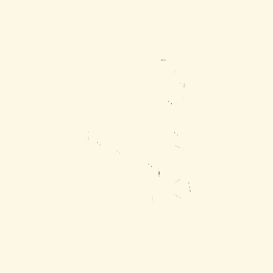 Cc1cc(CC(OC(=O)N2CCC(N3CCc4ccccc4NC3=O)CC2)C(=O)N2CCC(N3CCN(C(=O)OC(C)(C)C)CC3)CC2)cc(C)c1Cl